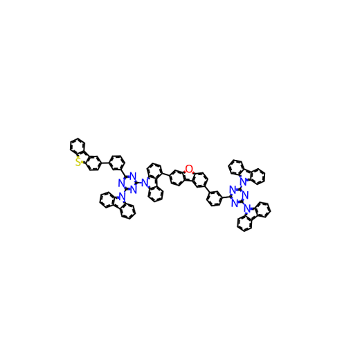 c1cc(-c2ccc3oc4cc(-c5cccc6c5c5ccccc5n6-c5nc(-c6cccc(-c7ccc8sc9ccccc9c8c7)c6)nc(-n6c7ccccc7c7ccccc76)n5)ccc4c3c2)cc(-c2nc(-n3c4ccccc4c4ccccc43)nc(-n3c4ccccc4c4ccccc43)n2)c1